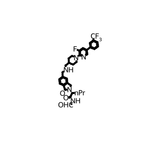 CCCC(C(=O)NC=O)N1Cc2cc(CNCC3CCN(c4ncc(-c5cccc(C(F)(F)F)c5)cc4F)CC3)ccc2C1=O